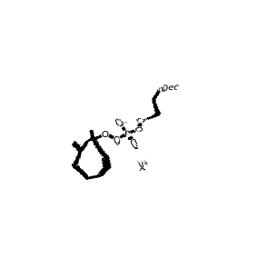 CCCCCCCCCCCCOOP(=O)([O-])OOC1(C)C=CC=CC1C.[K+]